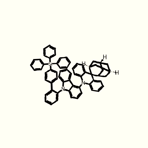 c1ccc([Si](c2ccccc2)(c2ccccc2)c2ccc(-c3ccccc3-n3c4ccccc4c4c(N5c6ccccc6C6(c7ccccc75)C5C[C@H]7C[C@@H](C5)C[C@@H]6C7)cccc43)cc2)cc1